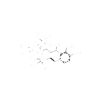 COc1ccc(/C=C/C(=O)O)c(C(C)CC[Si](O[Si](C)(C)C)(O[Si](C)(C)C)O[Si](C)(C)C)c1OC